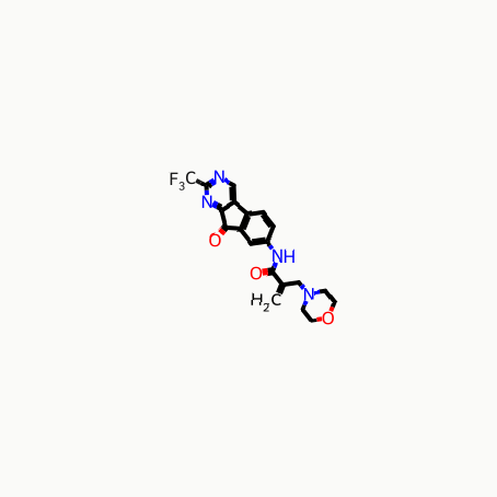 C=C(CN1CCOCC1)C(=O)Nc1ccc2c(c1)C(=O)c1nc(C(F)(F)F)ncc1-2